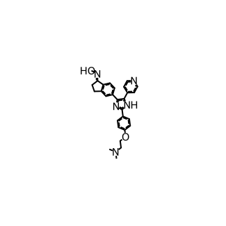 CN(C)CCOc1ccc(-c2nc(-c3ccc4c(c3)CCC4=NO)c(-c3ccncc3)[nH]2)cc1